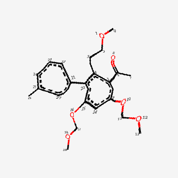 COCCc1c(C(C)=O)c(OCOC)cc(OCOC)c1-c1cccc(C)c1